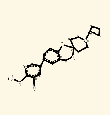 COc1ncc(-c2ccc3c(c2)COC2(CCN(C4CCC4)CC2)O3)cc1Cl